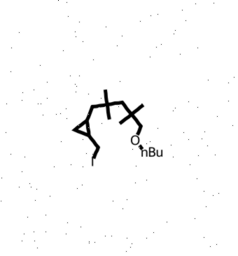 CCCCOCC(C)(C)CC(C)(C)CC1CC1CI